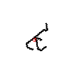 CCCCC/C=C\C/C=C\CCCCCCCCC(CCCCCCCC/C=C\C/C=C\CCCCC)C(CCCC(C)C)C(=O)CCCCCCC/C=C\C/C=C\CCCCC